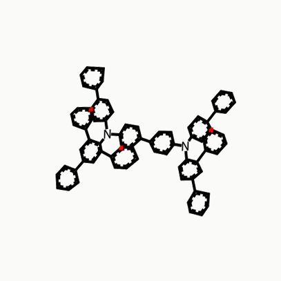 c1ccc(-c2ccc(N(c3ccc(-c4ccc(N(c5ccc(-c6ccccc6)cc5)c5c(-c6ccccc6)cc(-c6ccccc6)cc5-c5ccccc5)cc4)cc3)c3ccc(-c4ccccc4)cc3-c3ccccc3)cc2)cc1